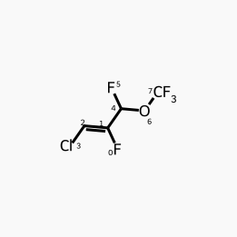 FC(=CCl)C(F)OC(F)(F)F